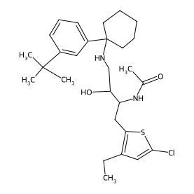 CCc1cc(Cl)sc1CC(NC(C)=O)C(O)CNC1(c2cccc(C(C)(C)C)c2)CCCCC1